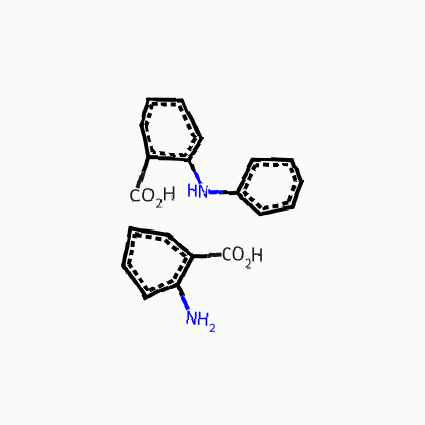 Nc1ccccc1C(=O)O.O=C(O)c1ccccc1Nc1ccccc1